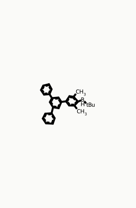 Cc1cc(-c2cc(-c3ccccc3)cc(-c3ccccc3)c2)cc(C)c1BC(C)(C)C